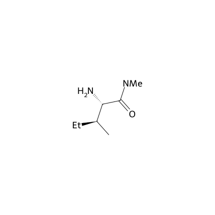 CC[C@H](C)[C@H](N)C(=O)NC